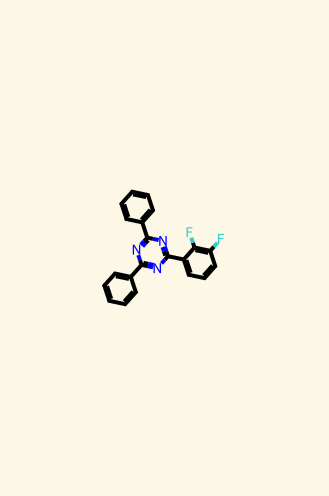 Fc1cccc(-c2nc(-c3ccccc3)nc(-c3ccccc3)n2)c1F